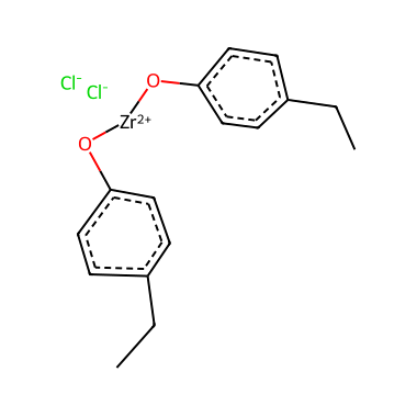 CCc1ccc([O][Zr+2][O]c2ccc(CC)cc2)cc1.[Cl-].[Cl-]